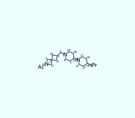 CC(=O)N1CC2(CC(CN3CCC(N4CCC(C(C)C)CC4)CC3)C2)C1